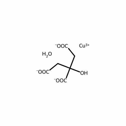 O.O=C([O-])CC(O)(CC(=O)[O-])C(=O)[O-].[Cu+3]